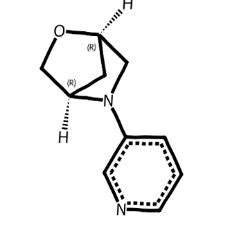 c1cncc(N2C[C@H]3C[C@@H]2CO3)c1